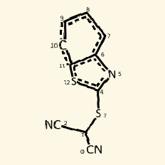 N#CC(C#N)Sc1nc2ccccc2s1